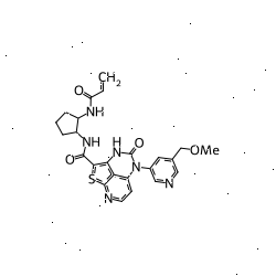 C=CC(=O)NC1CCCC1NC(=O)c1sc2nccc3c2c1NC(=O)N3c1cncc(COC)c1